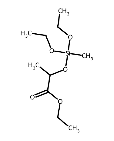 CCOC(=O)C(C)O[Si](C)(OCC)OCC